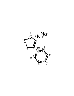 C1=CSSC1.[Na].[Na].c1cnnnc1